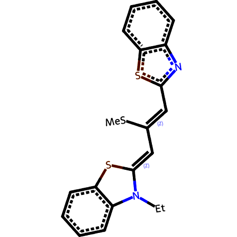 CCN1/C(=C/C(=C/c2nc3ccccc3s2)SC)Sc2ccccc21